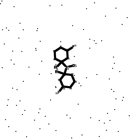 CCC1([S+]([O-])C2(CC)CCCC(F)C2)CCCC(F)C1